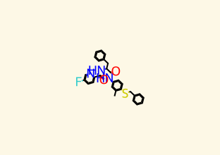 Cc1cc(NC(=O)C(Cc2ccccc2)NC(=O)c2ccc(F)cn2)ccc1SCc1ccccc1